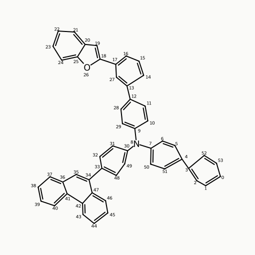 c1ccc(-c2ccc(N(c3ccc(-c4cccc(-c5cc6ccccc6o5)c4)cc3)c3ccc(-c4cc5ccccc5c5ccccc45)cc3)cc2)cc1